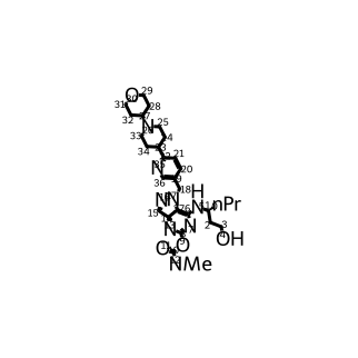 CCC[C@@H](CCO)Nc1nc(OC(=O)NC)nc2cnn(Cc3ccc(C4CCN(C5CCOCC5)CC4)nc3)c12